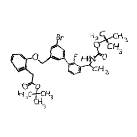 CC(NC(=O)OC(C)(C)C)c1cccc(-c2cc(Br)cc(COc3ccccc3CC(=O)OC(C)(C)C)c2)c1F